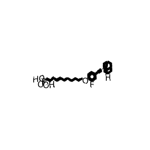 O=P(O)(O)CCCCCCCCCCCOc1ccc(C#C[C@]23CC4CC(C[C@H](C4)C2)C3)cc1F